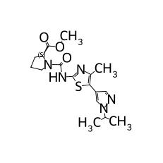 COC(=O)[C@@H]1CCCN1C(=O)Nc1nc(C)c(-c2cnn(C(C)C)c2)s1